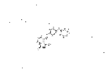 O=C1NC(=O)c2c(OCc3ccc(CN4CCOCC4)cc3)cccc21